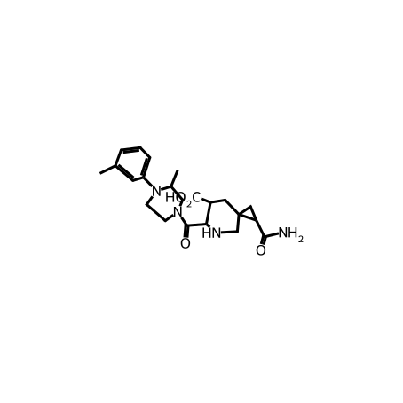 Cc1cccc(N2CCN(C(=O)C3NCC4(CC3C(=O)O)CC4C(N)=O)CC2C)c1